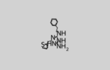 N=C(N)NC(=NCCc1cccs1)NCCc1ccccc1